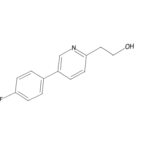 OCCc1ccc(-c2ccc(F)cc2)cn1